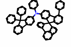 c1ccc(-c2cccc3c2-c2ccc(N(c4ccccc4)c4ccc5c(c4)C(c4ccccc4)(c4ccccc4)c4ccccc4-5)cc2C32c3ccccc3-c3cccc4cccc2c34)cc1